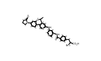 CC1Oc2cc(N3CCCC3=O)ccc2-c2cnc(Nc3cncc(NC(=O)c4ccc(CC(Br)C(=O)O)cc4)c3)cc21